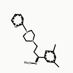 CO/N=C(\CCN1CCN(c2ccccn2)CC1)c1cc(C)cc(C)c1